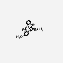 CNCC1=C(Nc2ccccc2OCC(F)(F)F)CN(c2ccc(SC)cc2)C1